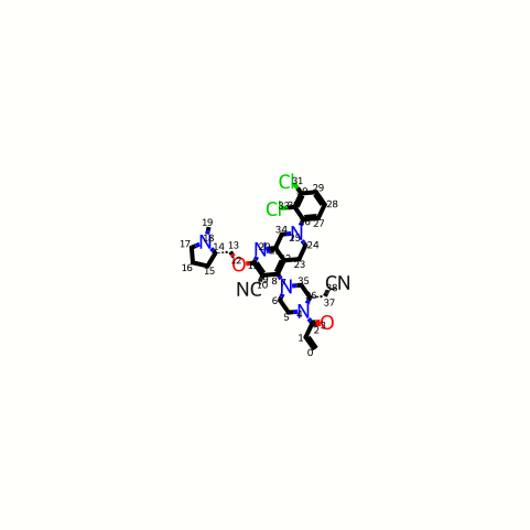 C=CC(=O)N1CCN(c2c(C#N)c(OC[C@@H]3CCCN3C)nc3c2CCN(c2cccc(Cl)c2Cl)C3)C[C@@H]1CC#N